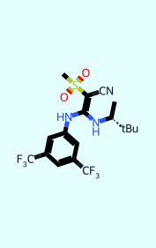 C[C@@H](NC(Nc1cc(C(F)(F)F)cc(C(F)(F)F)c1)=C(C#N)S(C)(=O)=O)C(C)(C)C